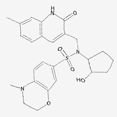 Cc1ccc2cc(CN(C3CCCC3O)S(=O)(=O)c3ccc4c(c3)OCCN4C)c(=O)[nH]c2c1